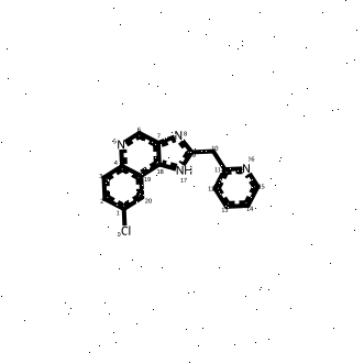 Clc1ccc2ncc3nc(Cc4ccccn4)[nH]c3c2c1